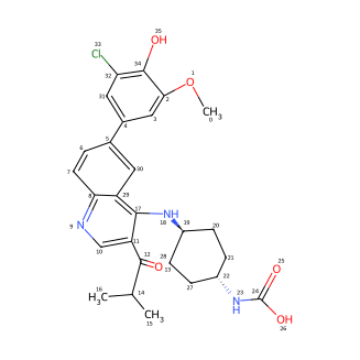 COc1cc(-c2ccc3ncc(C(=O)C(C)C)c(N[C@H]4CC[C@H](NC(=O)O)CC4)c3c2)cc(Cl)c1O